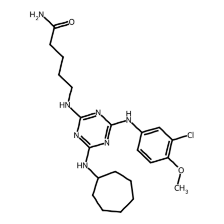 COc1ccc(Nc2nc(NCCCCC(N)=O)nc(NC3CCCCCC3)n2)cc1Cl